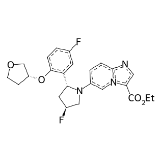 CCOC(=O)c1cnc2ccc(N3C[C@@H](F)C[C@@H]3c3cc(F)ccc3O[C@@H]3CCOC3)cn12